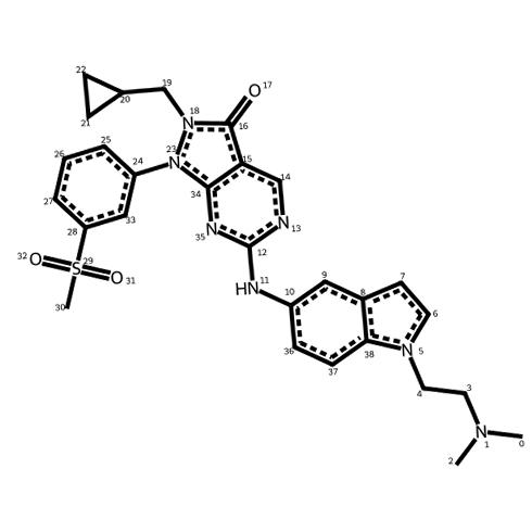 CN(C)CCn1ccc2cc(Nc3ncc4c(=O)n(CC5CC5)n(-c5cccc(S(C)(=O)=O)c5)c4n3)ccc21